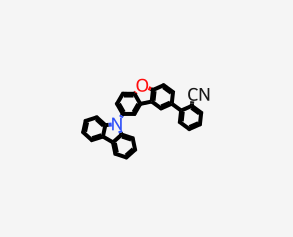 N#Cc1ccccc1-c1ccc2oc3ccc(-n4c5ccccc5c5ccccc54)cc3c2c1